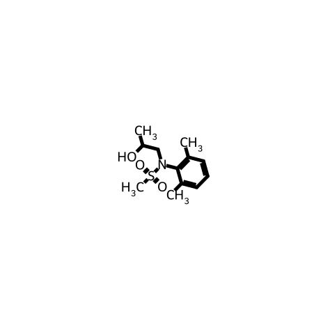 Cc1cccc(C)c1N(CC(C)O)S(C)(=O)=O